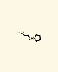 OCCON1CCCC1